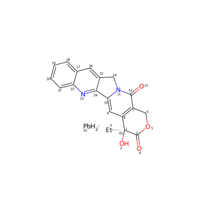 CC[C@@]1(O)C(=O)OCc2c1cc1n(c2=O)Cc2cc3ccccc3nc2-1.[PbH2]